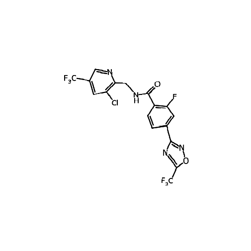 O=C(NCc1ncc(C(F)(F)F)cc1Cl)c1ccc(-c2noc(C(F)(F)F)n2)cc1F